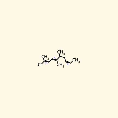 C/C=C\CC(C)/C(C)=C/C=C(\C)Cl